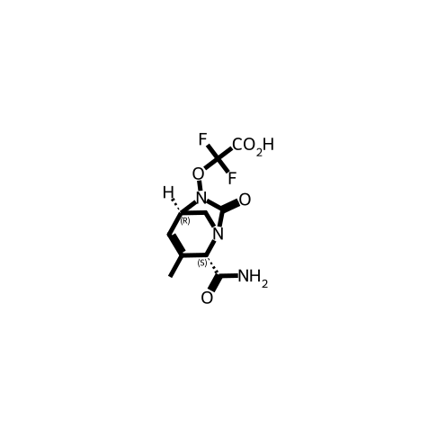 CC1=C[C@@H]2CN(C(=O)N2OC(F)(F)C(=O)O)[C@@H]1C(N)=O